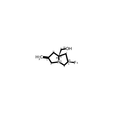 C=C1CN2C[C@H](F)C[C@@]2(CO)C1